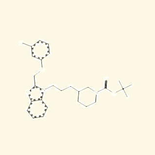 CC(C)(C)OC(=O)N1CCCC(CCCn2c(COc3cccc(Cl)c3)nc3ccccc32)C1